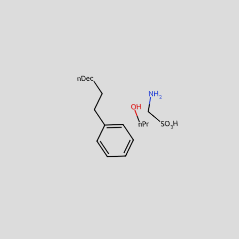 CCCCCCCCCCCCc1ccccc1.CCCO.NCS(=O)(=O)O